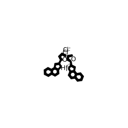 C1=C(c2ccco2)[CH]([Hf+2][CH]2C(c3ccco3)=Cc3c2ccc2ccccc32)c2ccc3ccccc3c21.[Cl-].[Cl-]